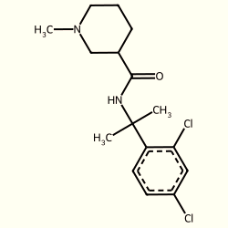 CN1CCCC(C(=O)NC(C)(C)c2ccc(Cl)cc2Cl)C1